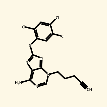 C#CCCCn1cnc(N)c2nc(Sc3cc(Cl)c(Cl)cc3Cl)nc1-2